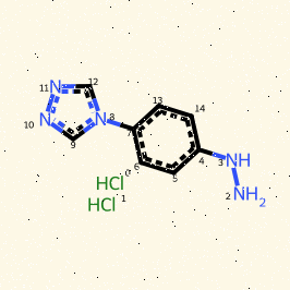 Cl.Cl.NNc1ccc(-n2cnnc2)cc1